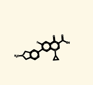 CN1Cc2ccc(-c3cc4c(cc3F)c(=O)c(C(=O)O)cn4C3CC3)cc2C1